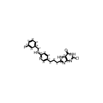 O=c1[nH]c(Cl)nc2nc(CCCc3ccc(NCc4cccc(F)c4)nc3)[nH]c12